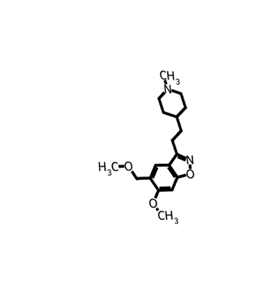 COCc1cc2c(CCC3CCN(C)CC3)noc2cc1OC